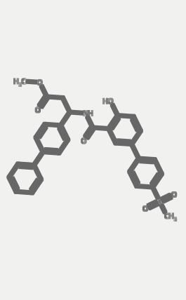 COC(=O)CC(NC(=O)c1cc(-c2ccc(S(C)(=O)=O)cc2)ccc1O)c1ccc(-c2ccccc2)cc1